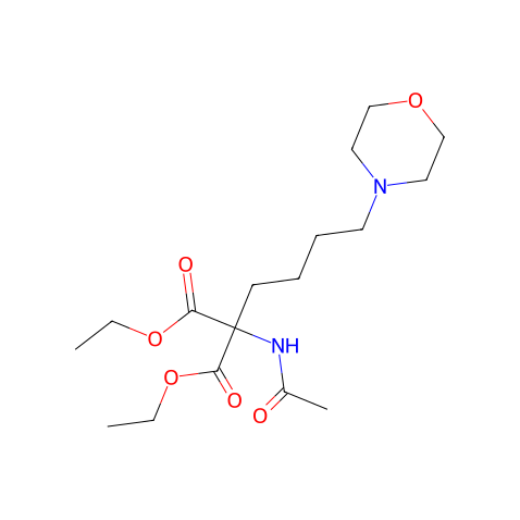 CCOC(=O)C(CCCCN1CCOCC1)(NC(C)=O)C(=O)OCC